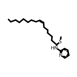 CCCCCCCC/C=C\CCCCCC(Nc1ccccn1)SC